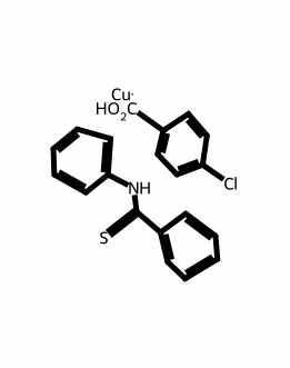 O=C(O)c1ccc(Cl)cc1.S=C(Nc1ccccc1)c1ccccc1.[Cu]